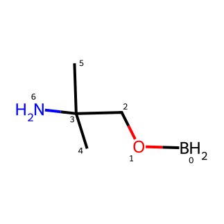 BOCC(C)(C)N